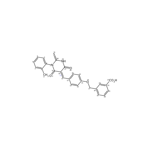 Cc1ccccc1N1C(=O)/C(=C/c2ccc(OCc3cccc(C(=O)O)c3)cc2)C(=O)NC1=S